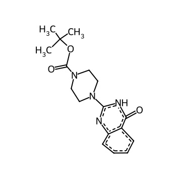 CC(C)(C)OC(=O)N1CCN(c2nc3ccccc3c(=O)[nH]2)CC1